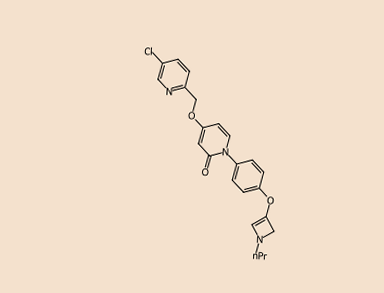 CCCN1C=C(Oc2ccc(-n3ccc(OCc4ccc(Cl)cn4)cc3=O)cc2)C1